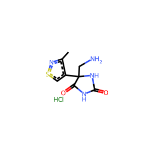 Cc1nscc1C1(CN)NC(=O)NC1=O.Cl